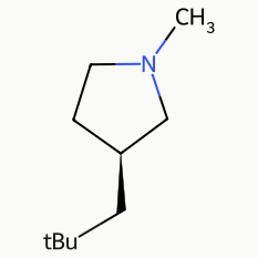 CN1CC[C@H](CC(C)(C)C)C1